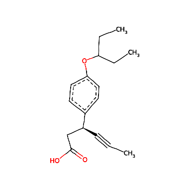 CC#C[C@@H](CC(=O)O)c1ccc(OC(CC)CC)cc1